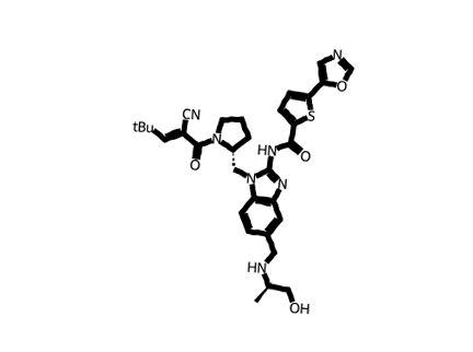 C[C@H](CO)NCc1ccc2c(c1)nc(NC(=O)c1ccc(-c3cnco3)s1)n2C[C@H]1CCCN1C(=O)/C(C#N)=C/C(C)(C)C